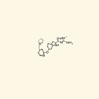 CNC(N)=NC(=O)c1cc2ccc(Oc3cc(CN4CCCC4)ccn3)cc2[nH]1